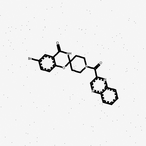 O=C1NC2(CCN(C(=O)c3cnc4ccccc4n3)CC2)Oc2ccc(Br)cc21